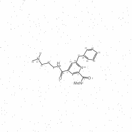 CNC(=O)c1cc(C(=O)NCCCN(C)C)cc(Cc2ccccc2)n1